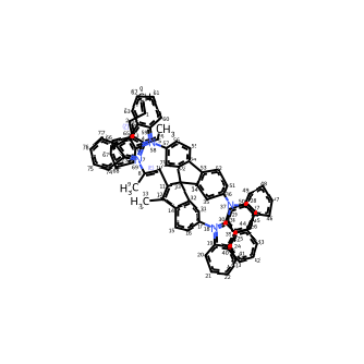 C=C/C=c1\c(=C/C)n(/C(C)=C/C2=C(C)c3ccc(-n4c5ccccc5c5ccccc54)cc3C23c2cc(N4Cc5ccccc5-c5ccccc54)ccc2-c2ccc(-n4c5ccccc5c5ccccc54)cc23)c2ccccc12